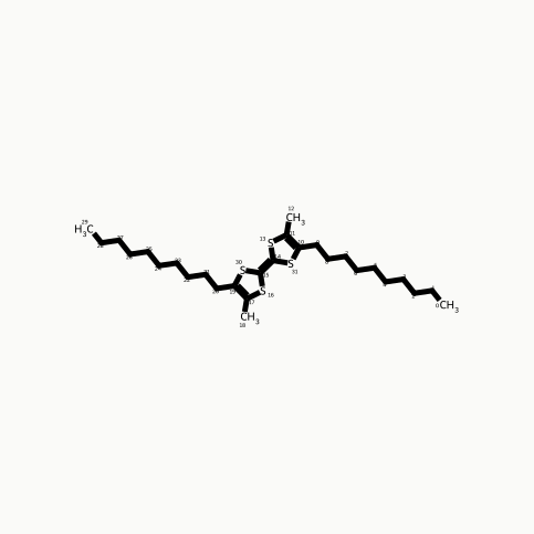 CCCCCCCCCCC1=C(C)S/C(=C2/SC(C)=C(CCCCCCCCCC)S2)S1